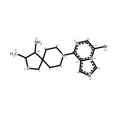 CC1OCC2(CCN(c3ncc(Br)n4cncc34)CC2)C1N